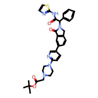 CC(C)(C)OC(=O)CN1CCN(c2ccc(-c3ccc4c(c3)C(=O)N(C(C(=O)Nc3nccs3)c3ccccc3)C4)cn2)CC1